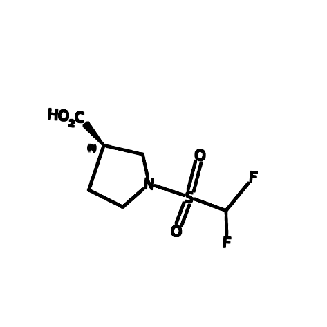 O=C(O)[C@@H]1CCN(S(=O)(=O)C(F)F)C1